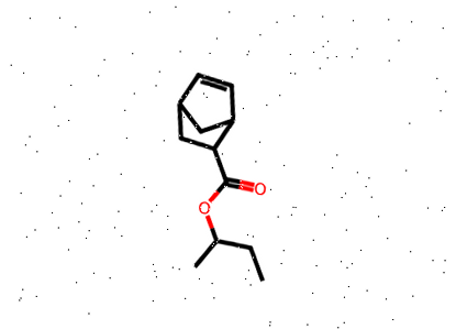 CCC(C)OC(=O)C1CC2C=CC1C2